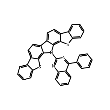 c1ccc(-c2nc(-n3c4c(ccc5c6ccccc6sc54)c4ccc5c6ccccc6sc5c43)nc3ccccc23)cc1